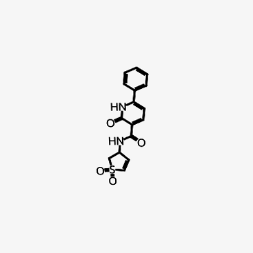 O=C(NC1C=CS(=O)(=O)C1)c1ccc(-c2ccccc2)[nH]c1=O